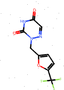 O=c1cnn(Cc2ccc(C(F)(F)F)o2)c(=O)[nH]1